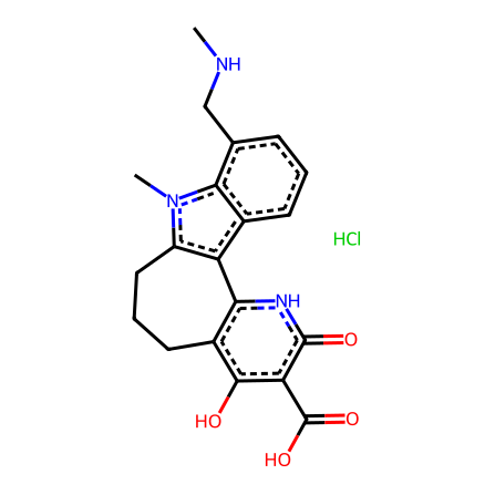 CNCc1cccc2c3c(n(C)c12)CCCc1c-3[nH]c(=O)c(C(=O)O)c1O.Cl